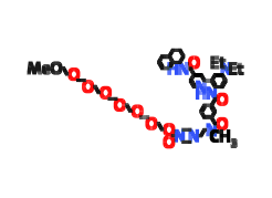 CCN(CC)c1ccc(NC(=O)c2cccc(C(=O)N(C)CCN3CCN(C(=O)OCCOCCOCCOCCOCCOCCOCCOC)CC3)c2)c(-c2cc(C(=O)N[C@H]3CCCc4ccccc43)ccn2)c1